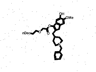 CCCCCCCCCCCCOCC(=O)OC1=C(CC2CCN(Cc3ccccc3)CC2)Cc2cc(OC)c(O)cc21